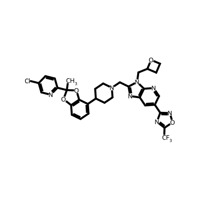 CC1(c2ccc(Cl)cn2)Oc2cccc(C3CCN(Cc4nc5cc(-c6noc(C(F)(F)F)n6)cnc5n4CC4CCO4)CC3)c2O1